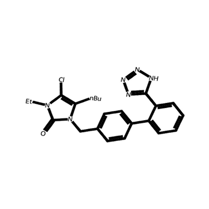 CCCCc1c(Cl)n(CC)c(=O)n1Cc1ccc(-c2ccccc2-c2nnn[nH]2)cc1